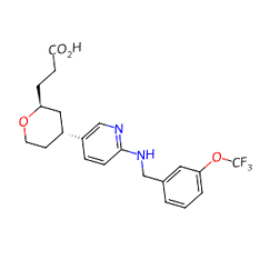 O=C(O)CC[C@H]1C[C@H](c2ccc(NCc3cccc(OC(F)(F)F)c3)nc2)CCO1